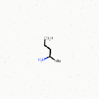 CCCCC(N)CCC(=O)O